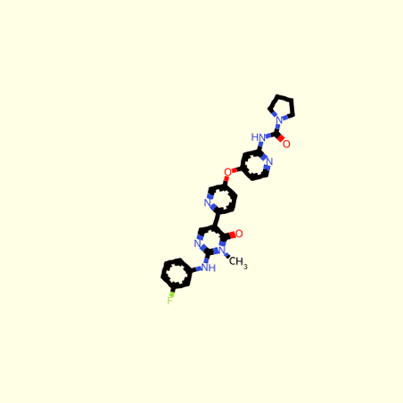 Cn1c(Nc2cccc(F)c2)ncc(-c2ccc(Oc3ccnc(NC(=O)N4CCCC4)c3)cn2)c1=O